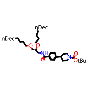 CCCCCCCCCCCCCCOC[C@H](CNC(=O)c1ccc(C2CCN(C(=O)OC(C)(C)C)CC2)cc1)OCCCCCCCCCCCCCC